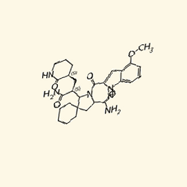 COc1cccc2[nH]c(C(=O)N3C(C(N)=O)CC4(CCCCC4)C3[C@H](C[C@@H]3CCCNC3=O)C(N)=O)cc12